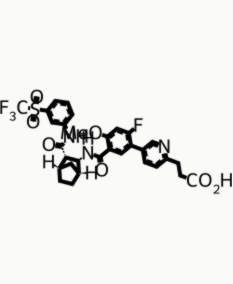 COc1cc(F)c(-c2ccc(CCC(=O)O)nc2)cc1C(=O)N[C@@H]1[C@H]2CC[C@H](C2)[C@@H]1C(=O)Nc1cccc(S(=O)(=O)C(F)(F)F)c1